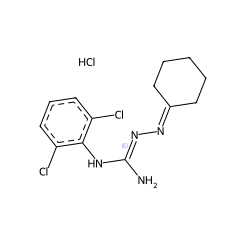 Cl.N/C(=N\N=C1CCCCC1)Nc1c(Cl)cccc1Cl